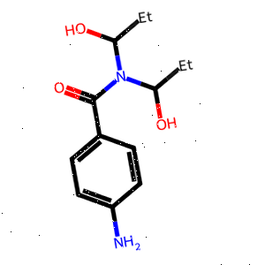 CCC(O)N(C(=O)c1ccc(N)cc1)C(O)CC